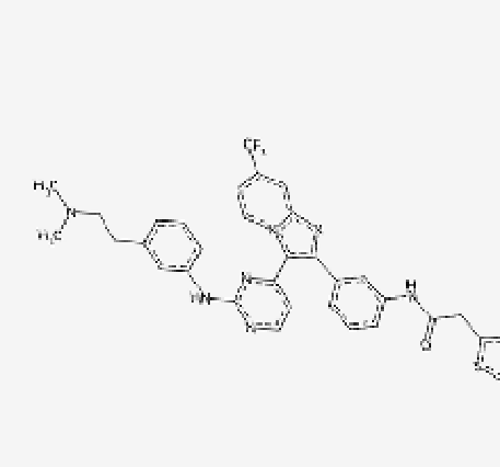 CN(C)CCc1cccc(Nc2nccc(-c3c(-c4cccc(NC(=O)Cc5cccs5)c4)nc4cc(C(F)(F)F)ccn34)n2)c1